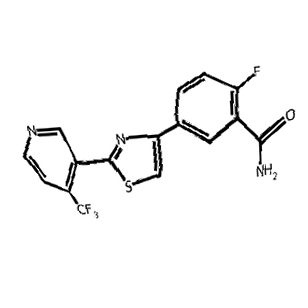 NC(=O)c1cc(-c2csc(-c3cnccc3C(F)(F)F)n2)ccc1F